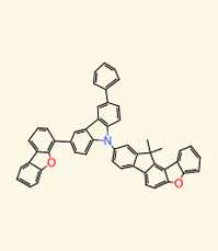 CC1(C)c2cc(-n3c4ccc(-c5ccccc5)cc4c4cc(-c5cccc6c5oc5ccccc56)ccc43)ccc2-c2ccc3oc4ccccc4c3c21